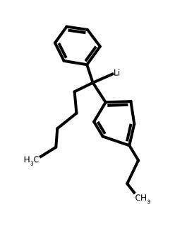 [Li][C](CCCCC)(c1ccccc1)c1ccc(CCC)cc1